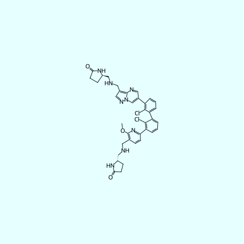 COc1nc(-c2cccc(-c3cccc(-c4cnc5c(CNC[C@H]6CCC(=O)N6)cnn5c4)c3Cl)c2Cl)ccc1CNC[C@@H]1CCC(=O)N1